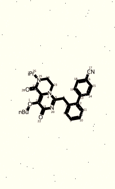 CCCCOc1c2n(c(Cc3ccccc3-c3ccc(C#N)cc3)nc1=O)CCN(C(C)C)C2=O